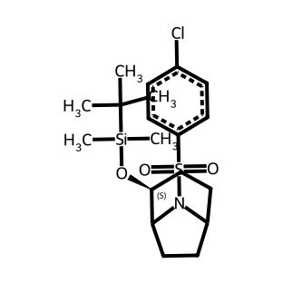 CC(C)(C)[Si](C)(C)O[C@H]1CCC2CCC1N2S(=O)(=O)c1ccc(Cl)cc1